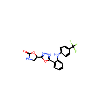 O=C1NCC(c2nnc(-c3ccccc3Nc3ccc(C(F)(F)F)cc3)o2)O1